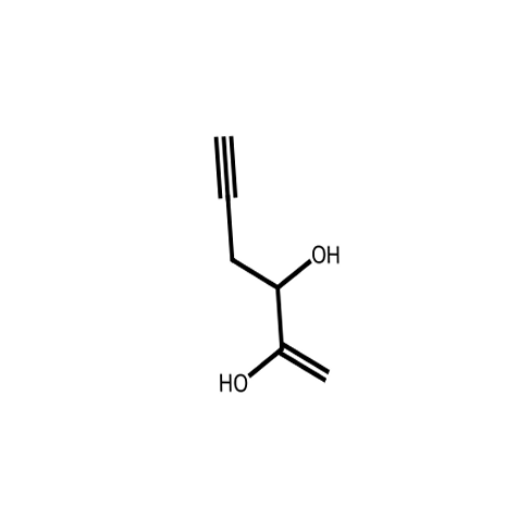 C#CCC(O)C(=C)O